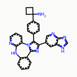 NC1(c2ccc(-c3c(-c4cnc5nc[nH]c5c4)nc4n3-c3cccnc3Nc3ccccc3-4)cc2)CCC1